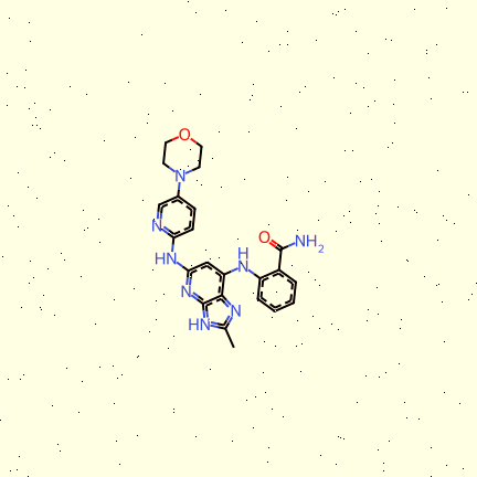 Cc1nc2c(Nc3ccccc3C(N)=O)cc(Nc3ccc(N4CCOCC4)cn3)nc2[nH]1